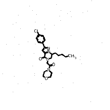 CCCCCC1CN(CC(=O)N2CCOCC2)C(=O)c2cc(-c3ccc(Cl)cc3)nn21